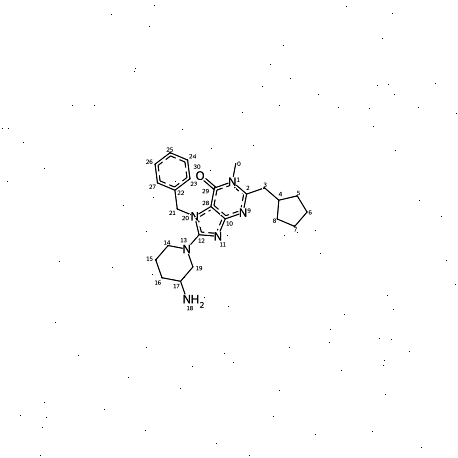 Cn1c(CC2CCCC2)nc2nc(N3CCCC(N)C3)n(Cc3ccccc3)c2c1=O